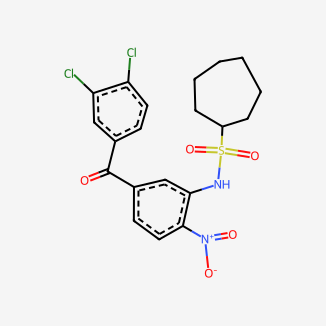 O=C(c1ccc(Cl)c(Cl)c1)c1ccc([N+](=O)[O-])c(NS(=O)(=O)C2CCCCCC2)c1